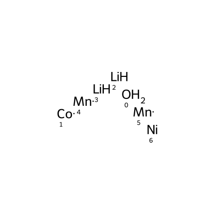 O.[Co].[LiH].[LiH].[Mn].[Mn].[Ni]